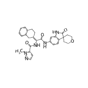 Cn1nccc1C(=O)NC(C(=O)Nc1ccc2c(c1)NC(=O)C21CCOCC1)=C1CCc2ccccc2C1